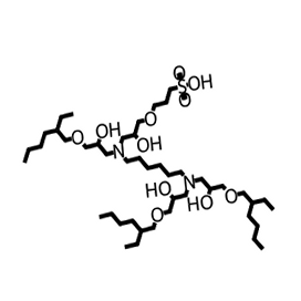 CCCCC(CC)COCC(O)CN(CCCCCCN(CC(O)COCC(CC)CCCC)CC(O)COCC(CC)CCCC)CC(O)COCCCS(=O)(=O)O